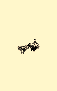 O=C(Cn1cc(-c2cccc(F)c2F)c2c(N3CCCC3)ncnc21)N1CCC(N2CCc3ccccc3NC2=O)CC1